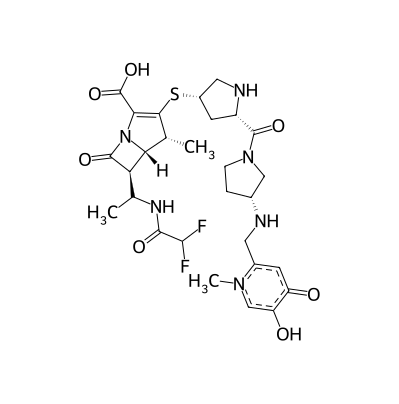 CC(NC(=O)C(F)F)[C@H]1C(=O)N2C(C(=O)O)=C(S[C@@H]3CN[C@H](C(=O)N4CC[C@@H](NCc5cc(=O)c(O)cn5C)C4)C3)[C@H](C)[C@H]12